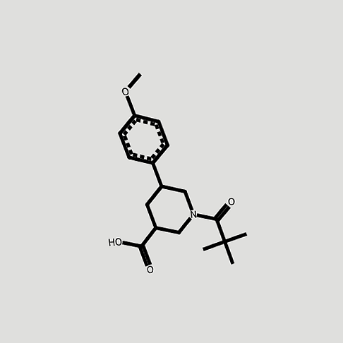 COc1ccc(C2CC(C(=O)O)CN(C(=O)C(C)(C)C)C2)cc1